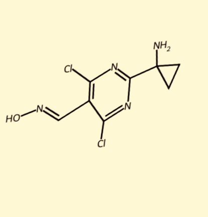 NC1(c2nc(Cl)c(C=NO)c(Cl)n2)CC1